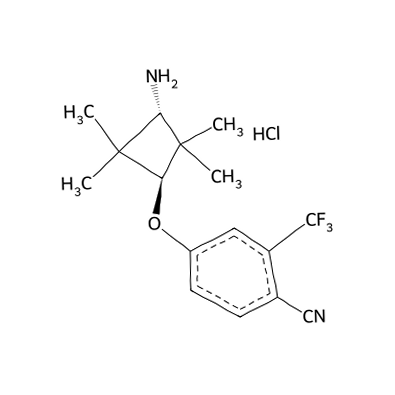 CC1(C)[C@H](N)C(C)(C)[C@H]1Oc1ccc(C#N)c(C(F)(F)F)c1.Cl